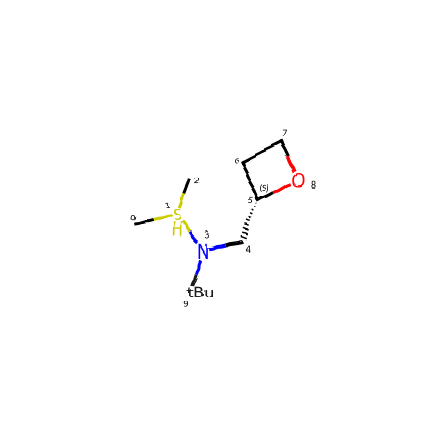 C[SH](C)N(C[C@@H]1CCO1)C(C)(C)C